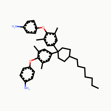 CCCCCCCC1CCC(c2cc(C)c(Oc3ccc(N)cc3)c(C)c2)(c2cc(C)c(Oc3ccc(N)cc3)c(C)c2)CC1